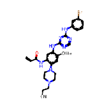 C=CC(=O)Nc1cc(Nc2ncnc(Nc3cccc(Br)c3)n2)c(OC)cc1N1CCN(CCC#N)CC1